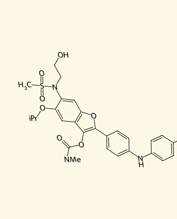 CNC(=O)Oc1c(-c2ccc(Nc3ccc(F)cc3)cc2)oc2cc(N(CCO)S(C)(=O)=O)c(OC(C)C)cc12